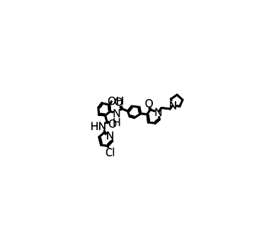 O=C(Nc1c(O)cccc1C(=O)Nc1ccc(Cl)cn1)c1ccc(-c2cccn(CCN3CCCC3)c2=O)cc1